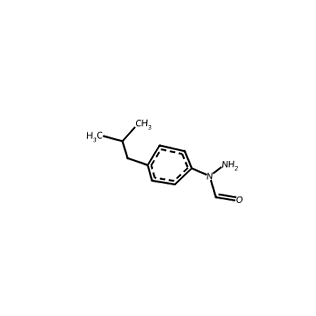 CC(C)Cc1ccc(N(N)C=O)cc1